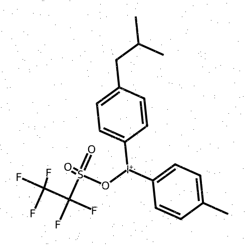 Cc1ccc([I+](OS(=O)(=O)C(F)(F)C(F)(F)F)c2ccc(CC(C)C)cc2)cc1